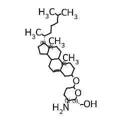 CC(C)CCCC(C)[C@H]1CCC2C3CC=C4CC(OC5CC[C@H](N)[C@@H](CO)O5)CC[C@]4(C)C3CC[C@@]21C